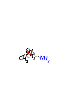 CCCC[Si](C)(C)OCCCCCN